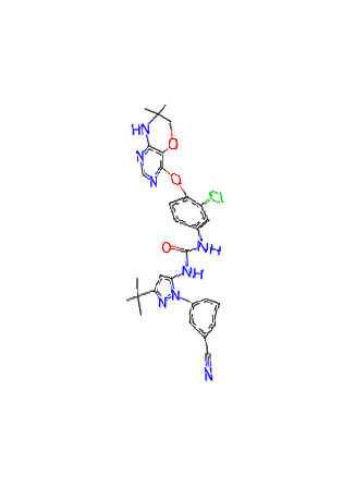 CC1(C)COc2c(ncnc2Oc2ccc(NC(=O)Nc3cc(C(C)(C)C)nn3-c3cccc(C#N)c3)cc2Cl)N1